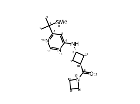 CSC(C)(C)c1cc(N[C@H]2C[C@H](C(=O)N3CCC3)C2)ncn1